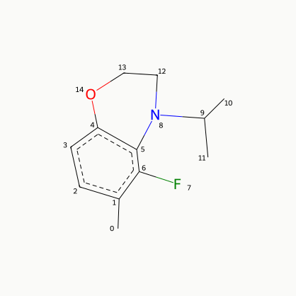 Cc1ccc2c(c1F)N(C(C)C)CCO2